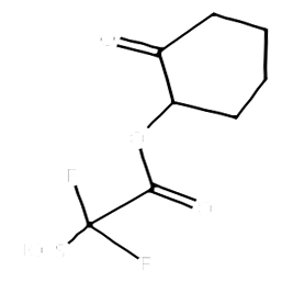 O=C1CCCCC1OC(=O)C(F)(F)S(=O)(=O)O